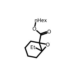 CCCCCCOC(=O)C12CCCCC1(CC)O2